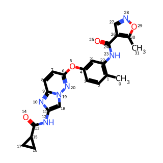 Cc1ccc(Oc2ccc3nc(NC(=O)C4CC4)cn3n2)cc1NC(=O)c1cnoc1C